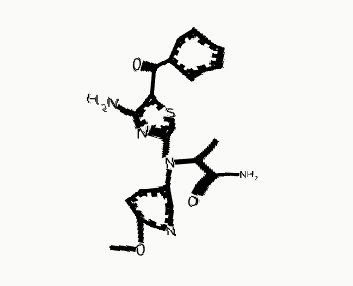 COc1ccc(N(c2nc(N)c(C(=O)c3ccccc3)s2)C(C)C(N)=O)cn1